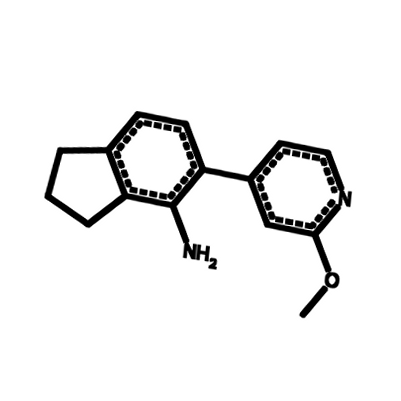 COc1cc(-c2ccc3c(c2N)CCC3)ccn1